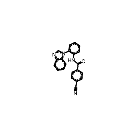 N#Cc1ccc(C(=O)Nc2ccccc2-n2cnc3ccccc32)cc1